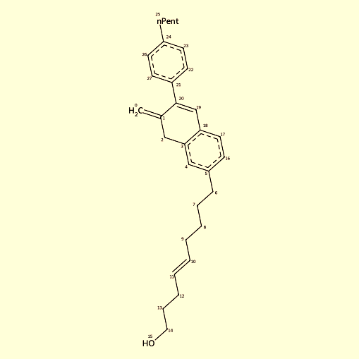 C=C1Cc2cc(CCCC/C=C/CCCO)ccc2C=C1c1ccc(CCCCC)cc1